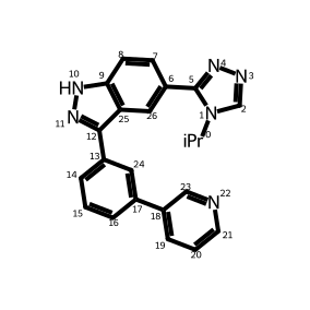 CC(C)n1cnnc1-c1ccc2[nH]nc(-c3cccc(-c4cccnc4)c3)c2c1